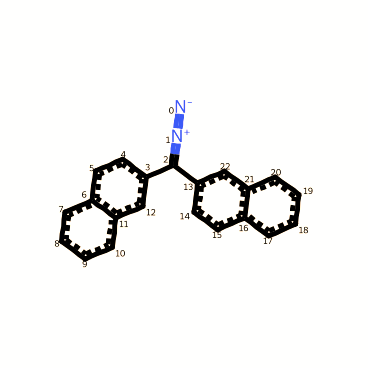 [N-]=[N+]=C(c1ccc2ccccc2c1)c1ccc2ccccc2c1